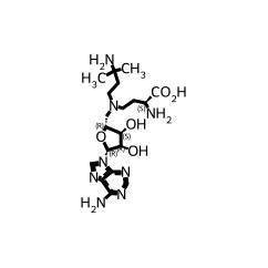 CC(C)(N)CCN(CC[C@H](N)C(=O)O)C[C@H]1O[C@@H](n2cnc3c(N)ncnc32)[C@H](O)[C@@H]1O